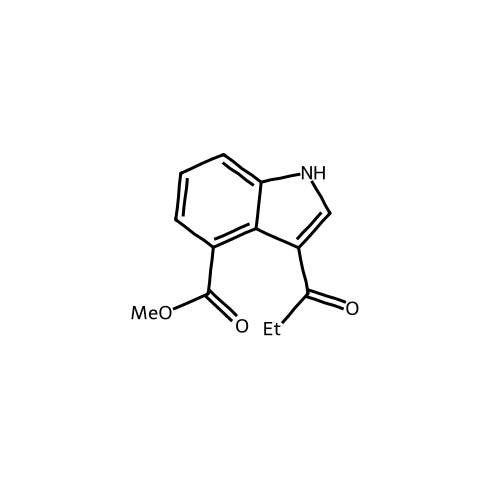 CCC(=O)c1c[nH]c2cccc(C(=O)OC)c12